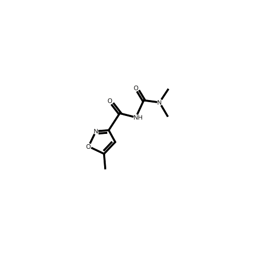 Cc1cc(C(=O)NC(=O)N(C)C)no1